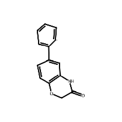 O=C1COc2ccc(-c3[c]cccc3)cc2N1